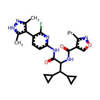 Cc1n[nH]c(C)c1-c1ccc(NC(=O)C(NC(=O)c2conc2C(C)C)C(C2CC2)C2CC2)nc1F